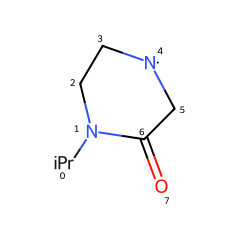 CC(C)N1CC[N]CC1=O